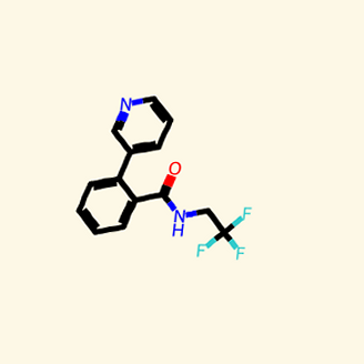 O=C(NCC(F)(F)F)c1ccccc1-c1cccnc1